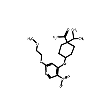 COCCOc1cc(NC2CCC(C(N)=O)(C(C)C)CC2)c([N+](=O)[O-])cn1